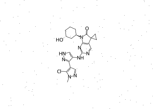 Cn1ncc(-c2n[nH]cc2Nc2ncc3c(n2)N([C@@H]2CCC[C@@H](O)C2)C(=O)C32CC2)c1Cl